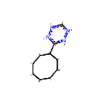 c1nnc(C2CCCCCCC2)nn1